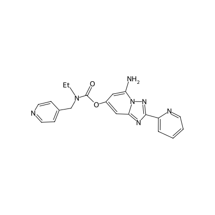 CCN(Cc1ccncc1)C(=O)Oc1cc(N)n2nc(-c3ccccn3)nc2c1